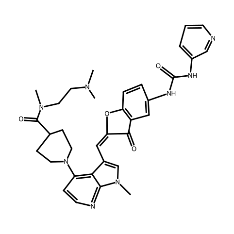 CN(C)CCN(C)C(=O)C1CCN(c2ccnc3c2c(C=C2Oc4ccc(NC(=O)Nc5cccnc5)cc4C2=O)cn3C)CC1